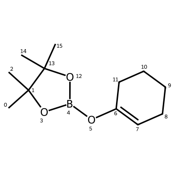 CC1(C)OB(OC2=CCCCC2)OC1(C)C